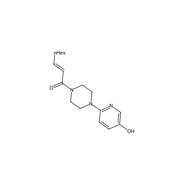 CCCCCCC=CC(=O)N1CCN(c2ccc(O)cn2)CC1